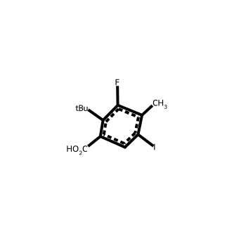 Cc1c(I)cc(C(=O)O)c(C(C)(C)C)c1F